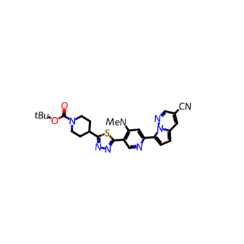 CNc1cc(-c2ccc3cc(C#N)cnn23)ncc1-c1nnc(C2CCN(C(=O)OC(C)(C)C)CC2)s1